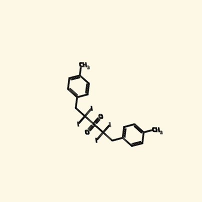 Cc1ccc(CC(I)(I)S(=O)(=O)C(I)(I)Cc2ccc(C)cc2)cc1